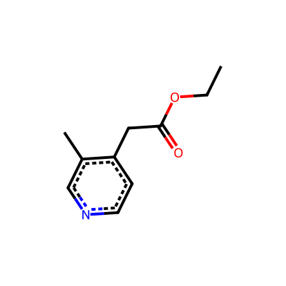 CCOC(=O)Cc1ccncc1C